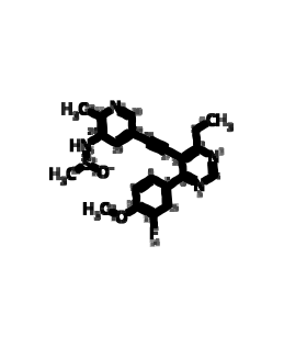 CCc1ncnc(-c2ccc(OC)c(F)c2)c1C#Cc1cnc(C)c(N[S+](C)[O-])c1